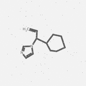 C=CC(C1CCCCC1)n1ccnc1